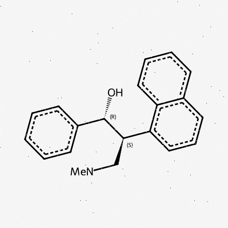 CNC[C@H](c1cccc2ccccc12)[C@@H](O)c1ccccc1